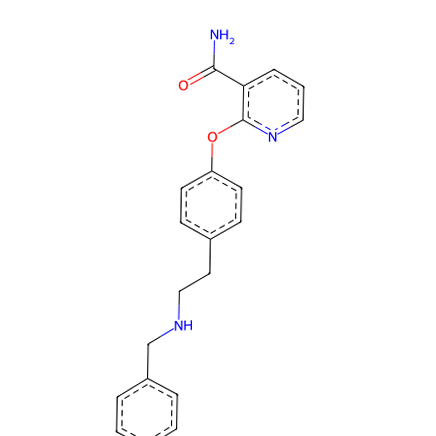 NC(=O)c1cccnc1Oc1ccc(CCNCc2ccccc2)cc1